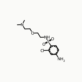 CN(C)CCOCCNS(=O)(=O)c1ccc(N)cc1Cl